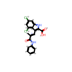 C/C(=C\c1c(C(=O)O)[nH]c2cc(Cl)cc(Cl)c12)C(=O)Nc1ccccc1